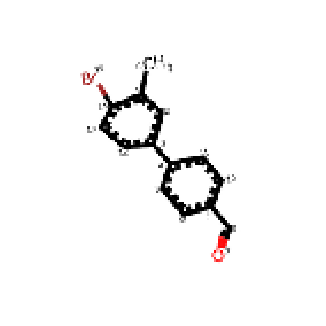 Cc1cc(-c2ccc(C=O)cc2)ccc1Br